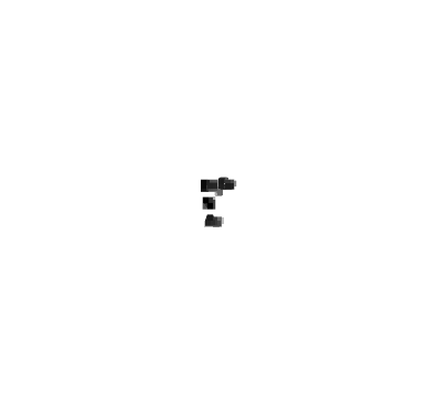 B.[Au].[Cu].[Ni]